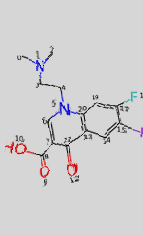 CN(C)CCn1cc(C(=O)O)c(=O)c2cc(I)c(F)cc21